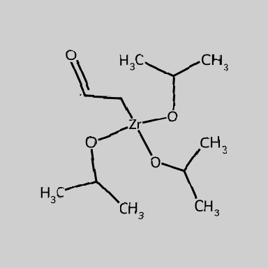 CC(C)[O][Zr]([CH2][C]=O)([O]C(C)C)[O]C(C)C